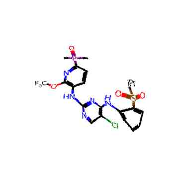 CC(C)S(=O)(=O)c1ccccc1Nc1nc(Nc2ccc(P(C)(C)=O)nc2OC(F)(F)F)ncc1Cl